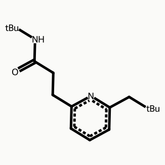 CC(C)(C)Cc1cccc(CCC(=O)NC(C)(C)C)n1